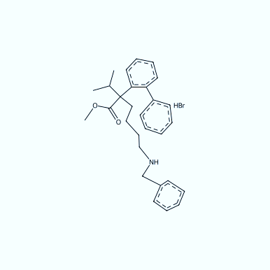 Br.COC(=O)C(CCCCNCc1ccccc1)(c1ccccc1-c1ccccc1)C(C)C